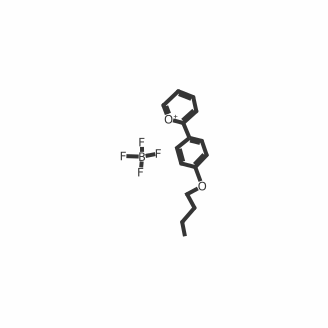 CCCCOc1ccc(-c2cccc[o+]2)cc1.F[B-](F)(F)F